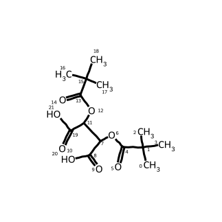 CC(C)(C)C(=O)OC(C(=O)O)C(OC(=O)C(C)(C)C)C(=O)O